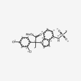 COC(=O)C(C)(c1ccc(Cl)cc1Cl)n1ccc2c(NS(C)(=O)=O)cccc21